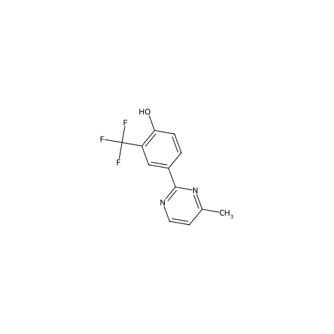 Cc1ccnc(-c2ccc(O)c(C(F)(F)F)c2)n1